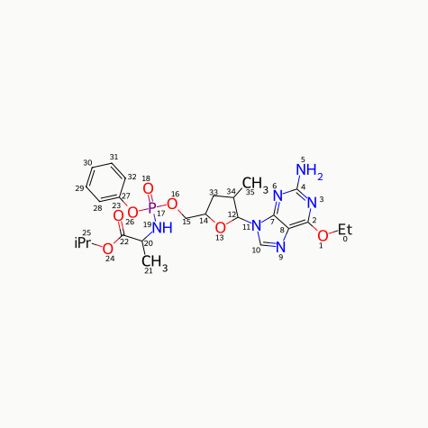 CCOc1nc(N)nc2c1ncn2C1OC(COP(=O)(NC(C)C(=O)OC(C)C)Oc2ccccc2)CC1C